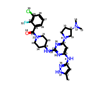 Cc1cc(Nc2cc(N3CC[C@H](N(C)C)C3)nc(NC3CCN(C(=O)c4cccc(Cl)c4F)CC3)n2)n[nH]1